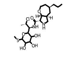 CCC[C@@H]1CCO[C@@H]2[C@H](CN[C@@H]2C(=O)N[C@@H](C2OC(SC)C(O)C(O)C2O)[C@H](C)Cl)C1